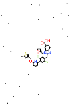 Cc1cc(COc2cccc(-c3cc(F)c(Cc4nc5ccc(C(=O)O)cc5n4C[C@@H]4CCO4)cc3F)n2)cs1